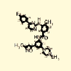 Cc1cc(-c2cc(NC(=O)c3ccc(C)c(Nc4nccc(-c5ccc(F)cc5)n4)c3)cc(N3CCN(C)CC3)c2)on1